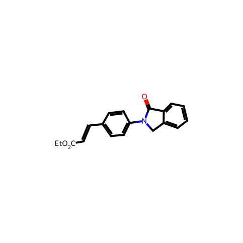 CCOC(=O)/C=C/c1ccc(N2Cc3ccccc3C2=O)cc1